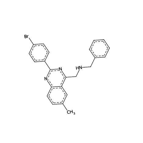 Cc1ccc2nc(-c3ccc(Br)cc3)nc(CNCc3ccccc3)c2c1